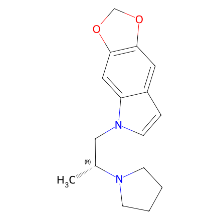 C[C@H](Cn1ccc2cc3c(cc21)OCO3)N1CCCC1